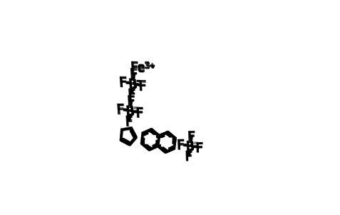 C1=CCC=C1.F[B-](F)(F)F.F[B-](F)(F)F.F[B-](F)(F)F.[Fe+3].c1ccc2ccccc2c1